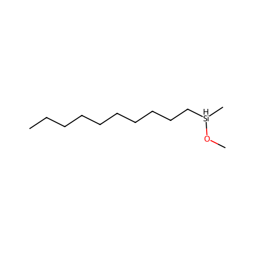 CCCCCCCCCC[SiH](C)OC